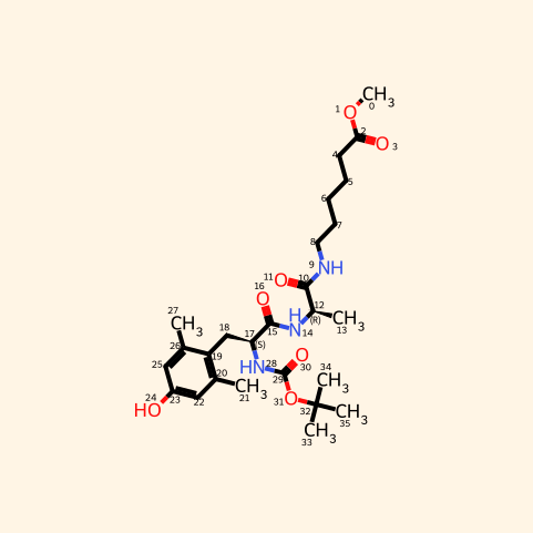 COC(=O)CCCCCNC(=O)[C@@H](C)NC(=O)[C@H](Cc1c(C)cc(O)cc1C)NC(=O)OC(C)(C)C